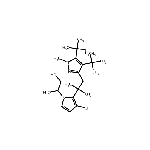 CC(CO)n1ncc(Cl)c1C(C)(C)Cc1nn(C)c(C(C)(C)C)c1C(C)(C)C